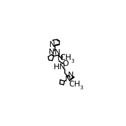 Cc1cnc(CCNC(=O)CN(C)c2nc(-c3ccccn3)nc3c2CCC3)n1C1CCC1